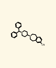 N#Cc1ccc2c(c1)CCN(C1CCN(C(c3ccccc3)c3ccccc3)CC1)CC2